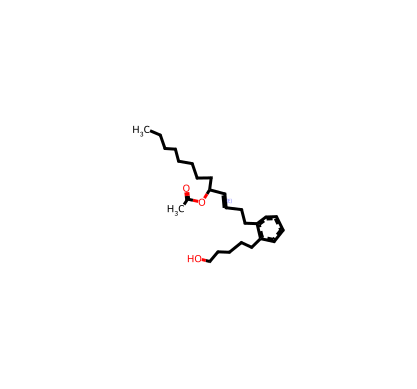 CCCCCCCCC(/C=C/CCc1ccccc1CCCCCO)OC(C)=O